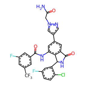 NC(=O)Cn1cc(-c2cc(NC(=O)c3cc(F)cc(C(F)(F)F)c3)c3c(c2)C(=O)NC3c2cc(F)ccc2Cl)cn1